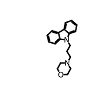 c1ccc2c(c1)c1ccccc1n2CCCN1CCOCC1